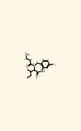 CCC(C)C1C(=O)Nc2cc(F)ccc2CN1C(=O)CCO